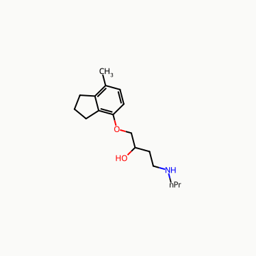 CCCNCCC(O)COc1ccc(C)c2c1CCC2